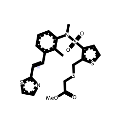 COC(=O)CSCc1sccc1S(=O)(=O)N(C)c1cccc(/C=C/c2nccs2)c1C